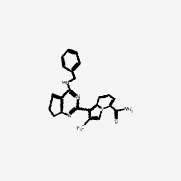 Cc1cn2c(C(N)=O)cccc2c1-c1nc2c(c(NCc3ccccc3)n1)CCC2